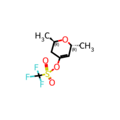 C[C@@H]1C=C(OS(=O)(=O)C(F)(F)F)C[C@@H](C)O1